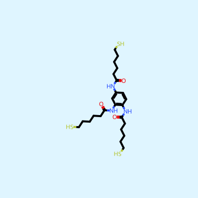 O=C(CCCCCS)Nc1ccc(NC(=O)CCCCCS)c(NC(=O)CCCCCS)c1